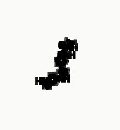 CC(C)NC(=O)c1cc2ccc(-n3ccc(Nc4ccc5[nH]ncc5c4)c3)cc2[nH]1